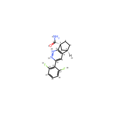 NC(=O)[C@]12CC[C@H](C1)c1cc(-c3c(F)cccc3F)nnc12